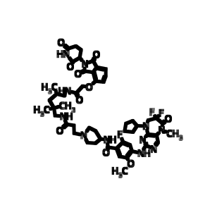 COc1cc(C(=O)NC2CCN(CCC(=O)NCC(C)(C)CC(C)CNC(=O)COc3cccc4c3C(=O)N(C3CCC(=O)NC3=O)C4=O)CC2)c(F)cc1Nc1ncc2c(n1)N(C1CCCC1)CC(F)(F)C(=O)N2C